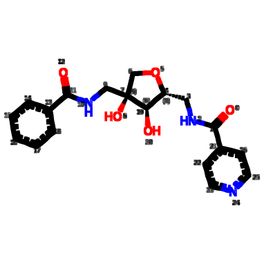 O=C(NC[C@H]1OC[C@@](O)(CNC(=O)c2ccccc2)[C@@H]1O)c1ccncc1